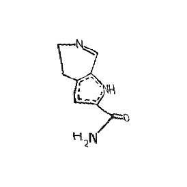 NC(=O)c1cc2c([nH]1)C=NCC2